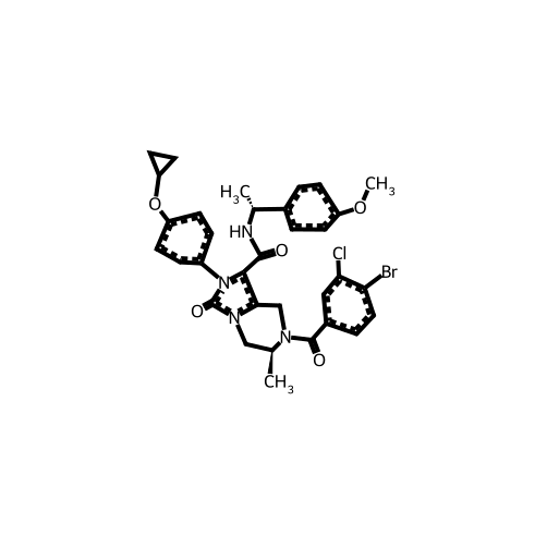 COc1ccc([C@@H](C)NC(=O)c2c3n(c(=O)n2-c2ccc(OC4CC4)cc2)C[C@H](C)N(C(=O)c2ccc(Br)c(Cl)c2)C3)cc1